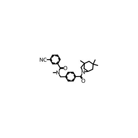 CN(Cc1ccc(C(=O)N2CC3(C)CC2CC(C)(C)C3)cc1)C(=O)c1cccc(C#N)c1